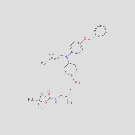 CC(C)=CCN(c1ccc(OCc2ccccc2)cc1)C1CCN(C(=O)CC[C@H](C)CNC(=O)OC(C)(C)C)CC1